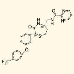 O=C(NC[C@@H]1CCS[C@H](c2cccc(Oc3ccc(C(F)(F)F)cc3)c2)C(=O)N1)c1ncccn1